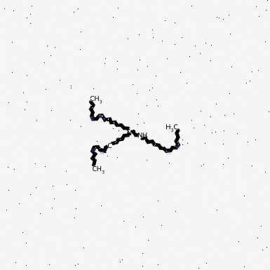 CCCCC/C=C\C/C=C\CCCCCCCCNCCN(CCCCCCCC/C=C\C/C=C\CCCCC)CCCCCCCC/C=C\C/C=C\CCCCC